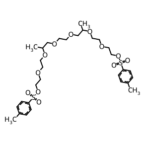 Cc1ccc(S(=O)(=O)OCCOCCOC(C)COCCOCC(C)OCCOCCOS(=O)(=O)c2ccc(C)cc2)cc1